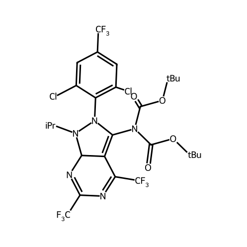 CC(C)N1C2N=C(C(F)(F)F)N=C(C(F)(F)F)C2=C(N(C(=O)OC(C)(C)C)C(=O)OC(C)(C)C)N1c1c(Cl)cc(C(F)(F)F)cc1Cl